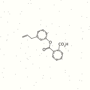 C=CCc1cccc(OC(=O)c2ccccc2C(=O)O)c1